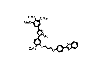 COc1ccc(C2CC(c3cc(OC)c(OC)c(OC)c3)=NN2C(C)=O)cc1OCCCOc1ccc(-c2nc3ccccc3s2)cc1